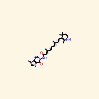 CC1=C(/C=C/C(C)=C/C=C/C(C)=C/C(=O)Nn2cnc3c(ncn3C)c2=O)C(C)(C)CCN1